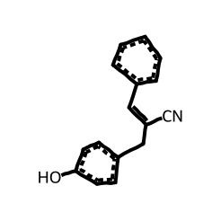 N#C/C(=C\c1ccccc1)Cc1ccc(O)cc1